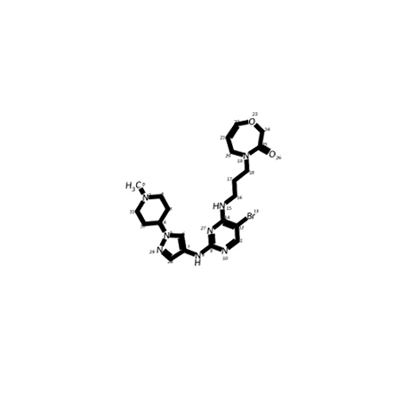 CN1CCC(n2cc(Nc3ncc(Br)c(NCCCN4CC=COCC4=O)n3)cn2)CC1